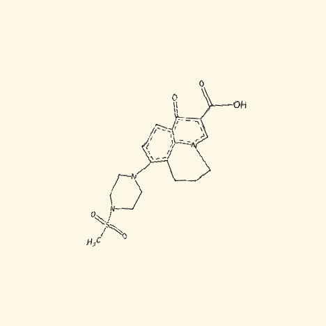 CS(=O)(=O)N1CCN(c2ccc3c(=O)c(C(=O)O)cn4c3c2CCC4)CC1